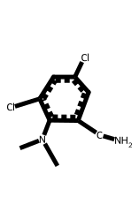 CN(C)c1c(Cl)cc(Cl)cc1CN